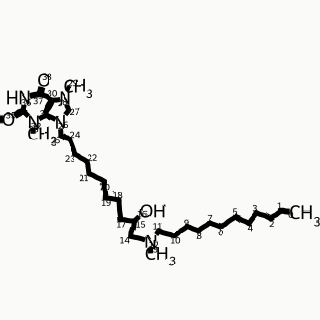 CCCCCCCCCCCCN(C)CC(O)CCCCCCCCCN1CN(C)c2c1n(C)c(=O)[nH]c2=O